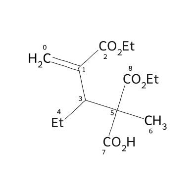 C=C(C(=O)OCC)C(CC)C(C)(C(=O)O)C(=O)OCC